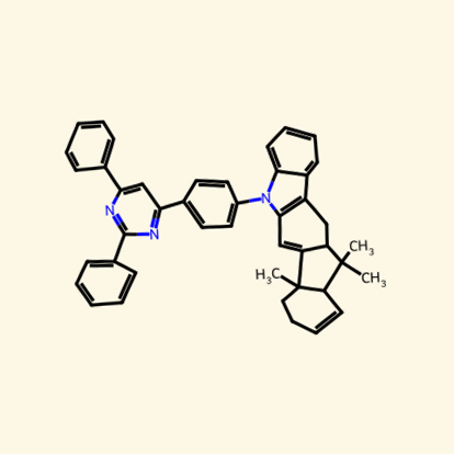 CC12CCC=CC1C(C)(C)C1Cc3c(n(-c4ccc(-c5cc(-c6ccccc6)nc(-c6ccccc6)n5)cc4)c4ccccc34)C=C12